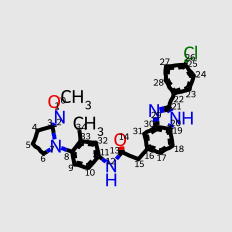 CON=C1CCCN1c1ccc(NC(=O)Cc2ccc3[nH]c(-c4ccc(Cl)cc4)nc3c2)cc1C